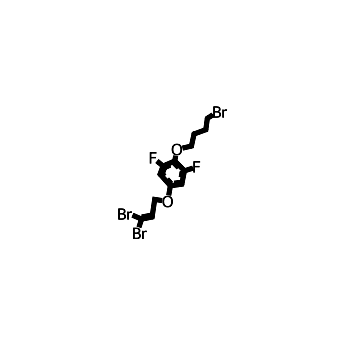 Fc1cc(OCC=C(Br)Br)cc(F)c1OCCCCBr